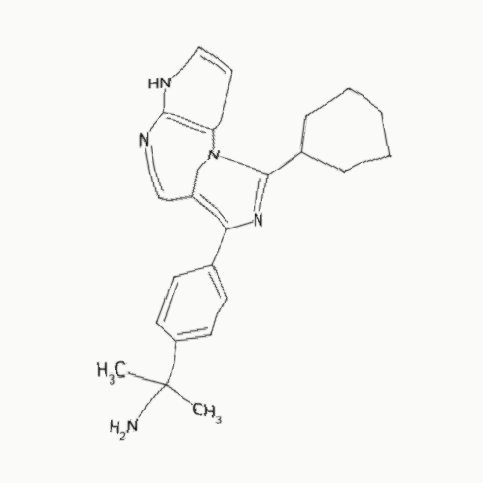 CC(C)(N)c1ccc(-c2nc(C3CCCCC3)n3c2cnc2[nH]ccc23)cc1